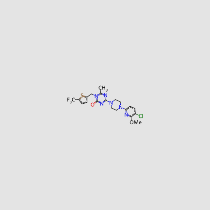 COc1nc(N2CCN(c3nc(C)n(Cc4ccc(C(F)(F)F)s4)c(=O)n3)CC2)ccc1Cl